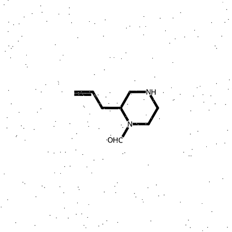 C=CCC1CNCCN1[C]=O